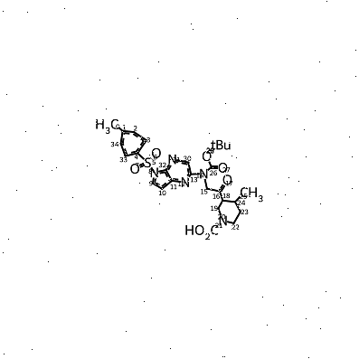 Cc1ccc(S(=O)(=O)n2ccc3nc(N(CC(=O)C4CN(C(=O)O)CCC4C)C(=O)OC(C)(C)C)cnc32)cc1